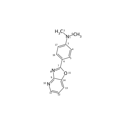 CN(C)c1ccc(-c2nc3ncccc3o2)cc1